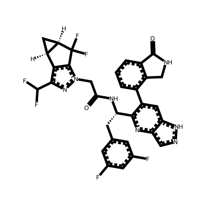 O=C(Cn1nc(C(F)F)c2c1C(F)(F)[C@@H]1C[C@H]21)N[C@@H](Cc1cc(F)cc(F)c1)c1nc2cn[nH]c2cc1-c1cccc2c1CNC2=O